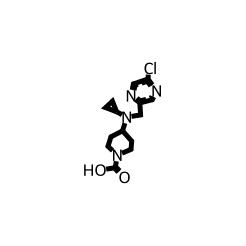 O=C(O)N1CCC(N(Cc2cnc(Cl)cn2)C2CC2)CC1